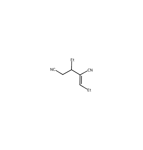 CC/C=C(\C#N)C(CC)CC#N